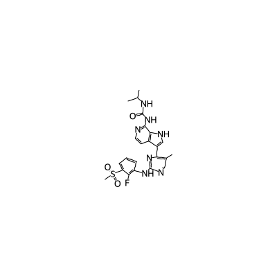 Cc1cnc(Nc2cccc(S(C)(=O)=O)c2F)nc1-c1c[nH]c2c(NC(=O)NC(C)C)nccc12